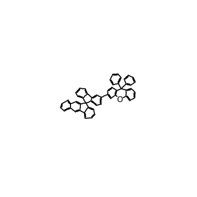 c1ccc(C2(c3ccccc3)c3ccccc3Oc3cc(-c4ccc5c(c4)-c4ccccc4C54c5ccccc5-c5cc6ccccc6cc54)ccc32)cc1